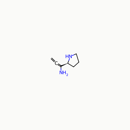 C=C=C(N)[C@@H]1CCCN1